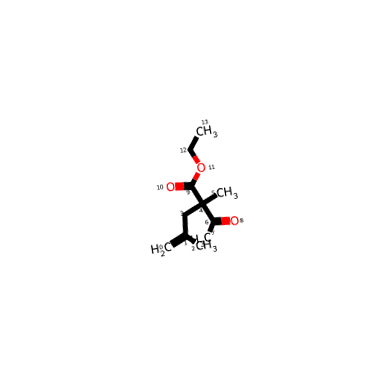 C=C(C)CC(C)(C(C)=O)C(=O)OCC